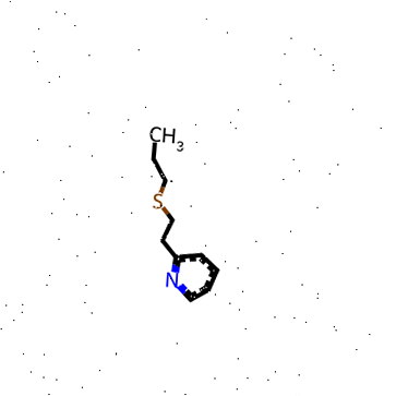 CC[CH]SCCc1ccccn1